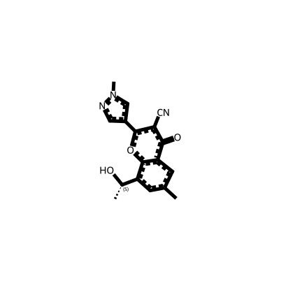 Cc1cc([C@H](C)O)c2oc(-c3cnn(C)c3)c(C#N)c(=O)c2c1